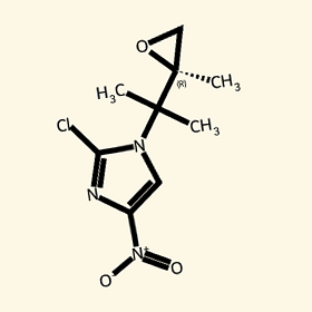 CC(C)(n1cc([N+](=O)[O-])nc1Cl)[C@]1(C)CO1